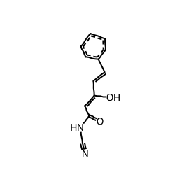 N#CNC(=O)C=C(O)C=Cc1ccccc1